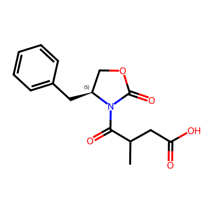 CC(CC(=O)O)C(=O)N1C(=O)OC[C@@H]1Cc1ccccc1